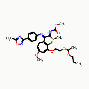 CCCOC(C)OCCOC1=CC(OC)=CCC(C(=N\c2ccc(-c3noc(C)n3)cc2)/C(=N/C(=O)OC)SC)=C1F